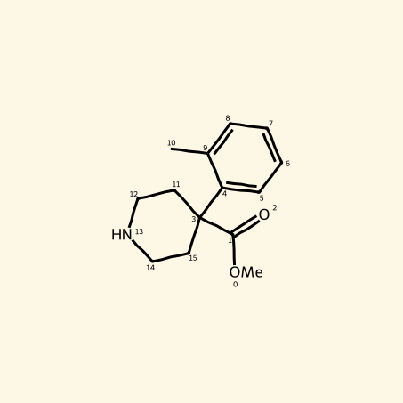 COC(=O)C1(c2ccccc2C)CCNCC1